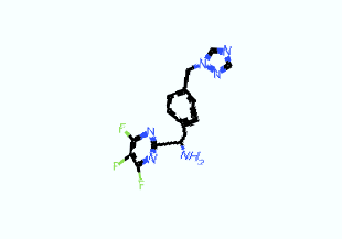 NC(c1ccc(Cn2cncn2)cc1)c1nc(F)c(F)c(F)n1